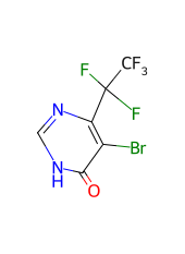 O=c1[nH]cnc(C(F)(F)C(F)(F)F)c1Br